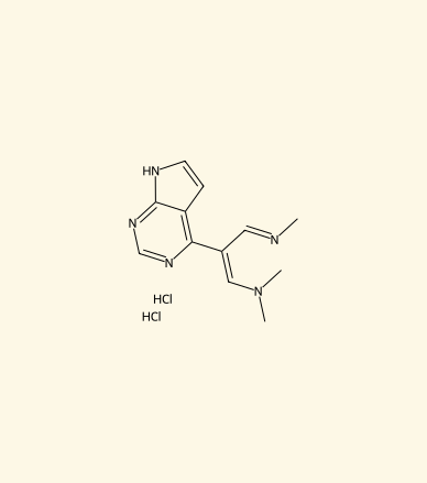 C/N=C/C(=C\N(C)C)c1ncnc2[nH]ccc12.Cl.Cl